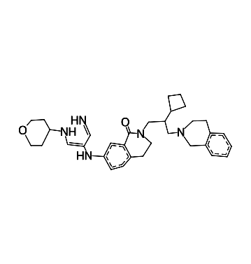 N=C/C(=C\NC1CCOCC1)Nc1ccc2c(c1)C(=O)N(CC(CN1CCc3ccccc3C1)C1CCC1)CC2